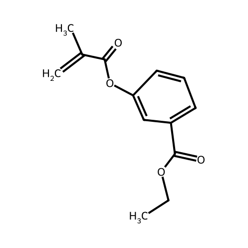 C=C(C)C(=O)Oc1cccc(C(=O)OCC)c1